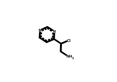 NCC(Cl)c1ccncn1